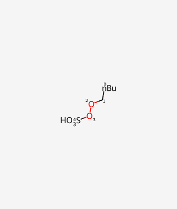 CCCCCOOS(=O)(=O)O